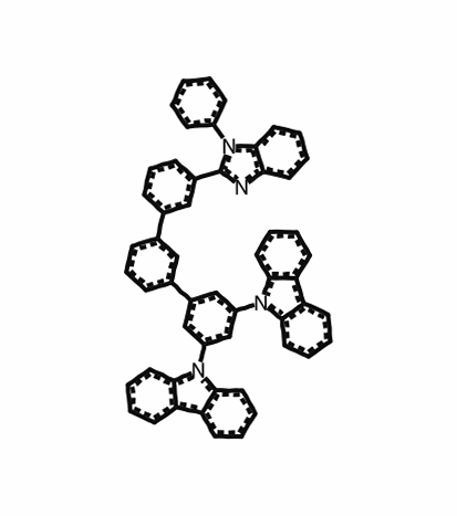 c1ccc(-n2c(-c3cccc(-c4cccc(-c5cc(-n6c7ccccc7c7ccccc76)cc(-n6c7ccccc7c7ccccc76)c5)c4)c3)nc3ccccc32)cc1